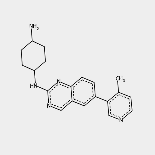 Cc1ccncc1-c1ccc2nc(NC3CCC(N)CC3)ncc2c1